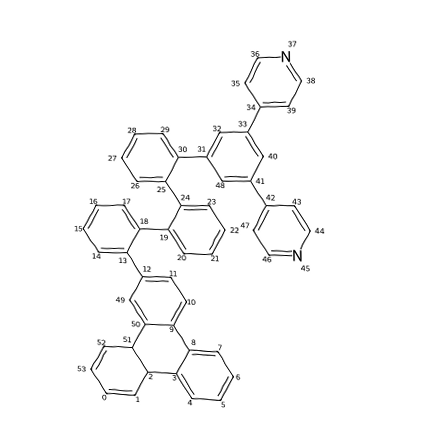 C1=CC2c3ccccc3-c3ccc(-c4ccccc4-c4ccccc4-c4ccccc4-c4cc(-c5ccncc5)cc(-c5ccncc5)c4)cc3C2C=C1